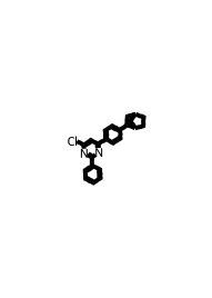 Clc1cc(-c2ccc(C3CC4CCC3C4)cc2)nc(-c2ccccc2)n1